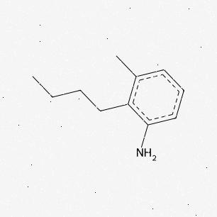 CCCCc1c(C)cccc1N